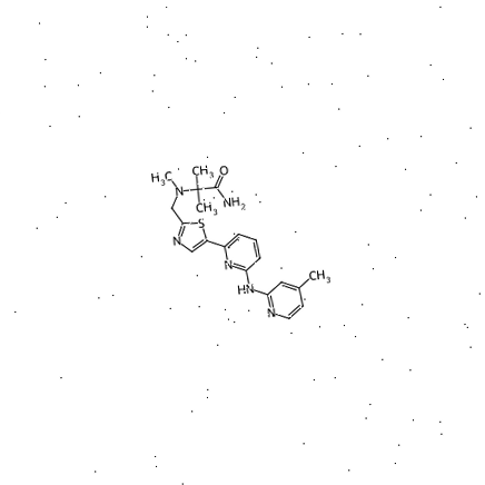 Cc1ccnc(Nc2cccc(-c3cnc(CN(C)C(C)(C)C(N)=O)s3)n2)c1